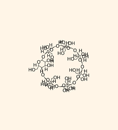 OC[C@H]1OC2O[C@H]3[C@H](O)C(O)C(O[C@@H]3CO)O[C@H]3C(O)[C@@H](O)C(O[C@H]4[C@H](O)C(O)C(O[C@@H]4CO)O[C@H]4C(O)[C@@H](O)C(O[C@@H]4CO)O[C@H]4C(O)C(O)C(O[C@H]5[C@H](O)C(O)C(O[C@H]1[C@H](O)[C@H]2O)O[C@@H]5CO)O[C@@H]4CO)O[C@@H]3CO